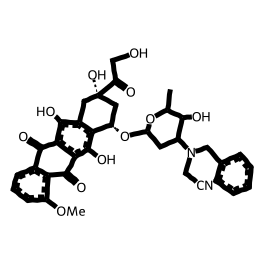 COc1cccc2c1C(=O)c1c(O)c3c(c(O)c1C2=O)C[C@@](O)(C(=O)CO)C[C@@H]3OC1CC(N(CC#N)Cc2ccccc2)C(O)C(C)O1